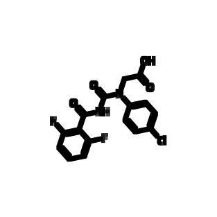 O=C(O)CN(C(=O)NC(=O)c1c(F)cccc1F)c1ccc(Cl)cc1